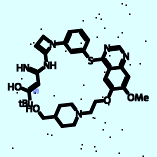 COc1cc2ncnc(Sc3cccc(N4CC=C4NC(=N)/C=C(\O)C(C)(C)C)c3)c2cc1OCCN1CCC(CO)CC1